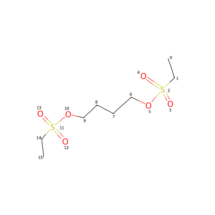 CCS(=O)(=O)OCCCCOS(=O)(=O)CC